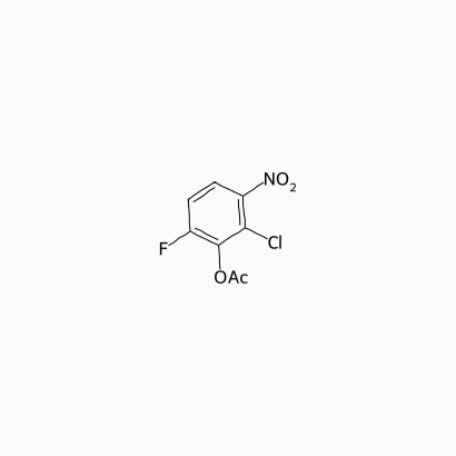 CC(=O)Oc1c(F)ccc([N+](=O)[O-])c1Cl